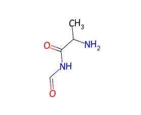 CC(N)C(=O)NC=O